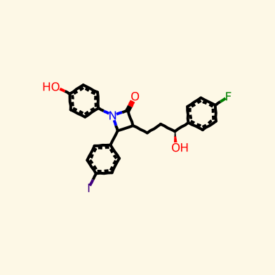 O=C1C(CC[C@H](O)c2ccc(F)cc2)C(c2ccc(I)cc2)N1c1ccc(O)cc1